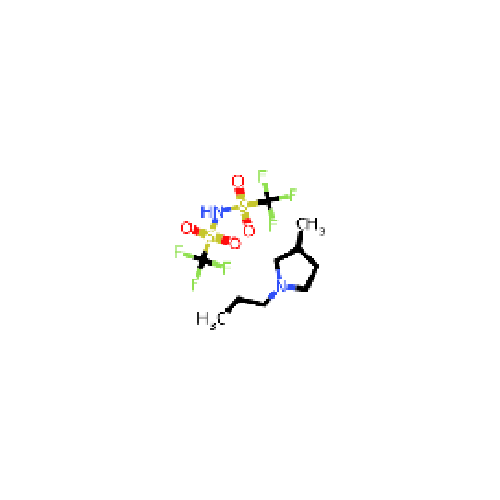 CCCN1CCC(C)C1.O=S(=O)(NS(=O)(=O)C(F)(F)F)C(F)(F)F